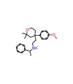 COc1ccc(C2(CCNC(C)c3ccccc3)CCOC(C)(C)C2)cc1